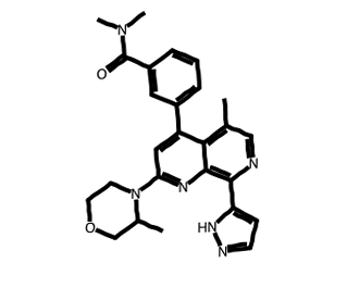 Cc1cnc(-c2ccn[nH]2)c2nc(N3CCOCC3C)cc(-c3cccc(C(=O)N(C)C)c3)c12